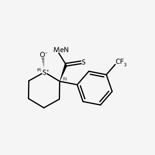 CNC(=S)[C@@]1(c2cccc(C(F)(F)F)c2)CCCC[S@+]1[O-]